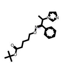 CC(/C(=N/OCCCCC(=O)OC(C)(C)C)c1ccccc1)n1ccnc1